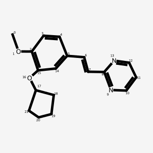 COc1ccc(C=Cc2ncccn2)cc1OC1CCCC1